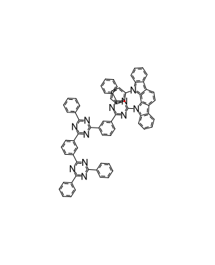 c1ccc(-c2nc(-c3ccccc3)nc(-c3cccc(-c4nc(-c5ccccc5)nc(-c5cccc(-c6nc(-c7ccccc7)nc(-n7c8ccccc8c8ccc9c%10ccccc%10n(-c%10ccccc%10)c9c87)n6)c5)n4)c3)n2)cc1